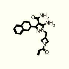 C=CC(=O)N1CC(Cn2nc(C3CCc4ccccc4C3)c(C(N)=O)c2N)C1